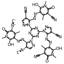 [C-]#[N+]c1cnn(-c2nc(-n3ncc(C#N)c3/N=N/c3c(C)c(C#N)c(=O)n(C)c3O)nc(-n3ncc(C#N)c3/N=N/c3c(C)c(C#N)c(=O)n(C)c3O)n2)c1/N=N/c1c(C)c([N+]#[C-])c(=O)n(C)c1O